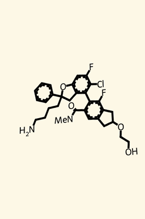 CNC(=O)c1cc2c(c(F)c1-c1c(Cl)c(F)cc3c1CC(CCCCN)(c1ccccc1)O3)CC(OCCO)C2